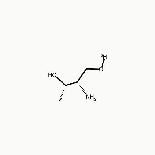 [2H]OC[C@H](N)[C@H](C)O